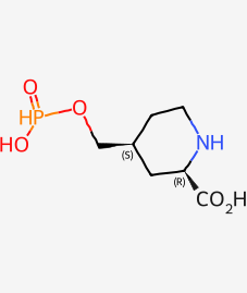 O=C(O)[C@H]1C[C@@H](CO[PH](=O)O)CCN1